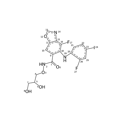 O=C(NOCC(O)CO)c1cc2ocnc2c(F)c1Nc1ccc(I)cc1F